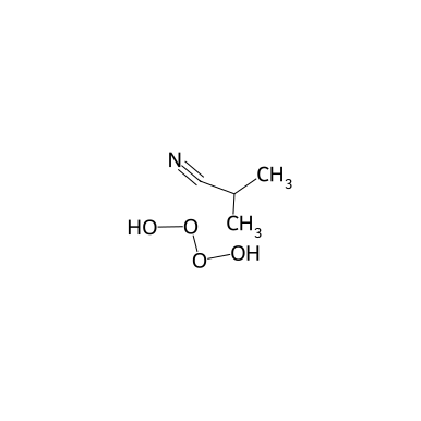 CC(C)C#N.OOOO